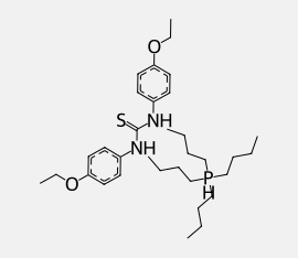 CCCC[PH](CCCC)(CCCC)CCCC.CCOc1ccc(NC(=S)Nc2ccc(OCC)cc2)cc1